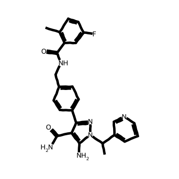 Cc1ccc(F)cc1C(=O)NCc1ccc(-c2nn(C(C)c3cccnc3)c(N)c2C(N)=O)cc1